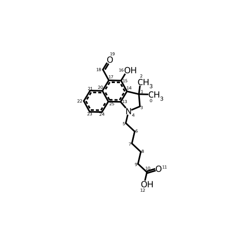 CC1(C)CN(CCCCCC(=O)O)c2c1c(O)c(C=O)c1ccccc21